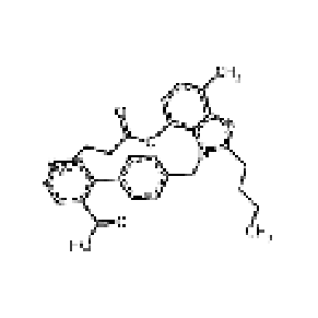 CCCCc1nc2c(C)ccc(OC(=O)CCC)c2n1Cc1ccc(-c2ccccc2C(=O)O)cc1